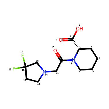 O=C(O)[C@@H]1CCCCN1C(=O)CN1CCC(F)(F)C1